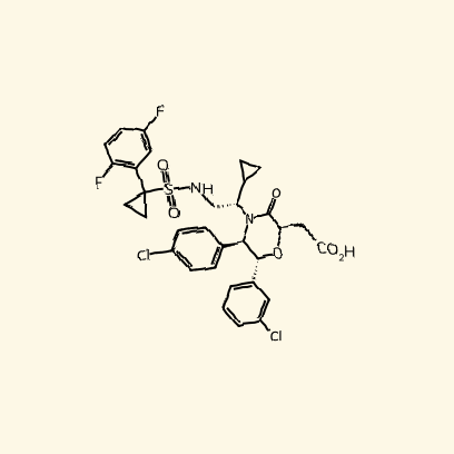 O=C(O)C[C@H]1O[C@H](c2cccc(Cl)c2)[C@@H](c2ccc(Cl)cc2)N([C@H](CNS(=O)(=O)C2(c3cc(F)ccc3F)CC2)C2CC2)C1=O